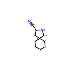 N#CC1CC2(CCCCC2)CN1